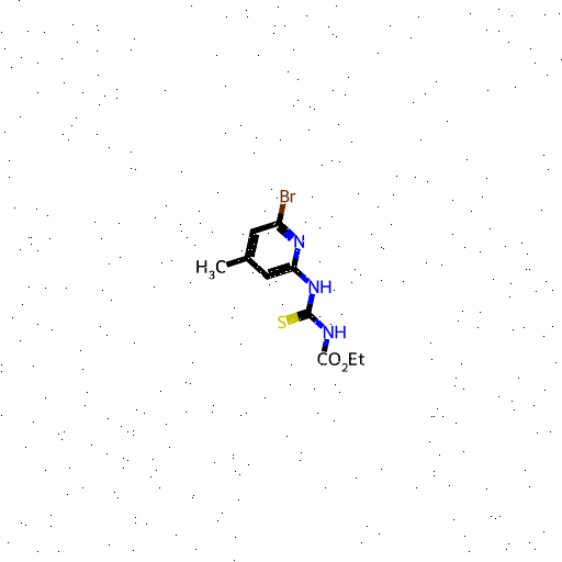 CCOC(=O)NC(=S)Nc1cc(C)cc(Br)n1